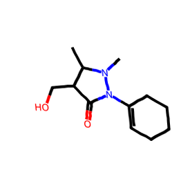 CC1C(CO)C(=O)N(C2=CCCCC2)N1C